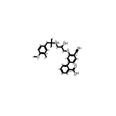 COc1ccc(CC(C)(C)NCC(O)COc2cc(-c3ccccc3C(=O)O)ccc2C#N)cc1C